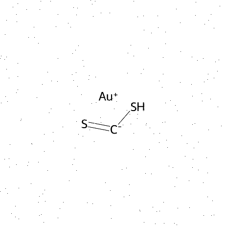 S=[C-]S.[Au+]